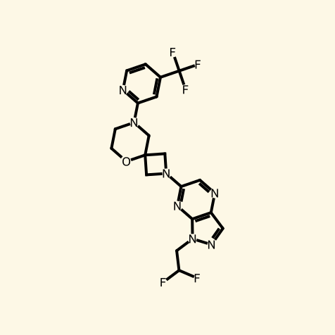 FC(F)Cn1ncc2ncc(N3CC4(CN(c5cc(C(F)(F)F)ccn5)CCO4)C3)nc21